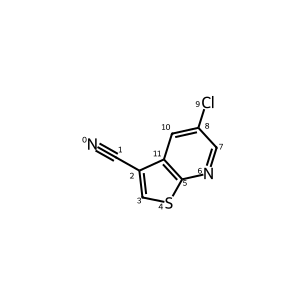 N#Cc1csc2ncc(Cl)cc12